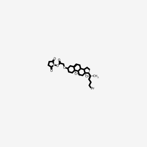 CC(C)CCC[C@@H](C)[C@H]1CCC2C3CC=C4CC(OCC(=O)ON5C(=O)CCC5=O)CC[C@]4(C)C3CC[C@@]21C